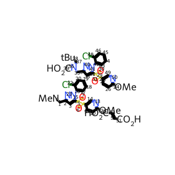 CNCc1cc(S(=O)(=O)c2ccc(OC)nc2)n(-c2ccccc2Cl)n1.COc1ccc(S(=O)(=O)c2cc(CN(CC(C)(C)C)C(=O)O)nn2-c2ccccc2Cl)cn1.O=C(O)C=CC(=O)O